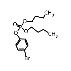 CCCCOP(=O)(OCCCC)Oc1ccc(Br)cc1